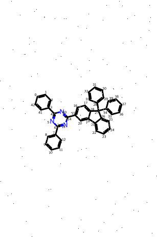 c1ccc(-c2nc(-c3ccccc3)nc(-c3ccc4c(c3)-c3ccccc3C4(c3ccccc3)c3ccccc3)n2)cc1